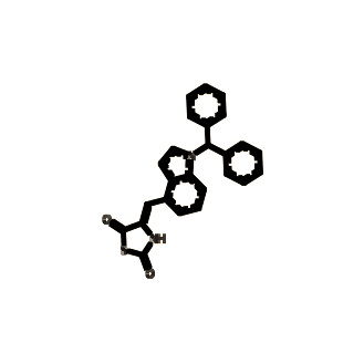 O=C1NC(=Cc2cccc3c2ccn3C(c2ccccc2)c2ccccc2)C(=O)S1